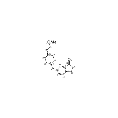 COCCN1CCN(Cc2ccc3c(c2)C(=O)CC3)CC1